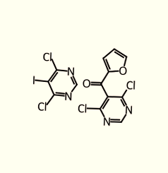 Clc1ncnc(Cl)c1I.O=C(c1ccco1)c1c(Cl)ncnc1Cl